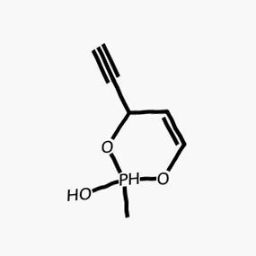 C#CC1C=CO[PH](C)(O)O1